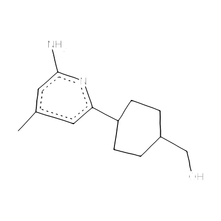 Cc1cc(N)nc(C2CCC(CO)CC2)c1